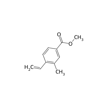 C=Cc1ccc(C(=O)OC)cc1C